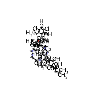 CCc1c(Cl)c(O)c(Cl)c(O)c1C(=O)OC1C(C)OC(OC/C2=C\C=C\CC(O)/C(C)=C/C(CC)C(OC3OC(C)(C)C(OC(=O)CC(C)C)C(O)C3O)/C(C)=C/C(C)=C/CC(C(C)O)OC2=O)C(C)C1O